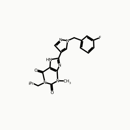 CC(C)Cn1c(=O)c2[nH]c(-c3cnn(Cc4cccc(F)c4)c3)nc2n(C)c1=O